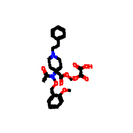 COC(=O)C1(N(OCc2ccccc2OC)C(C)=O)CCN(CCc2ccccc2)CC1.O=C(O)C(=O)O